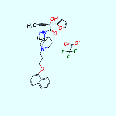 CC#CC(O)(C(=O)N[C@H]1C[N+]2(CCCOc3cccc4ccccc34)CCC1CC2)c1ccco1.O=C([O-])C(F)(F)F